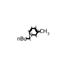 CCCCCN1C=CC=C(C)C1